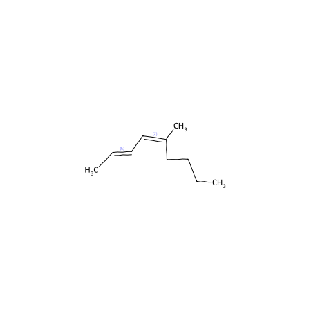 C/C=C/C=C(/C)CCCC